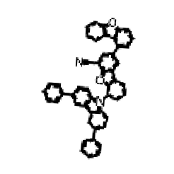 N#Cc1cc(-c2cccc3oc4ccccc4c23)cc2c1oc1c(-n3c4ccc(-c5ccccc5)cc4c4cc(-c5ccccc5)ccc43)cccc12